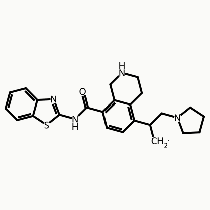 [CH2]C(CN1CCCC1)c1ccc(C(=O)Nc2nc3ccccc3s2)c2c1CCNC2